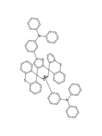 c1ccc(N(c2ccccc2)c2cccc(-c3cc4c(s3)C3(c5ccccc5Sc5ccccc53)c3cc(-c5cccc(N(c6ccccc6)c6ccccc6)c5)sc3C43c4ccccc4Sc4ccccc43)c2)cc1